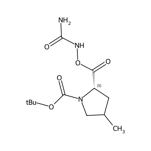 CC1C[C@@H](C(=O)ONC(N)=O)N(C(=O)OC(C)(C)C)C1